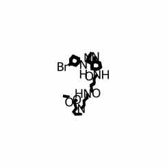 CCOC(=O)C1CCCN1CCCNC(=O)C=CC(=O)Nc1ccc2ncnc(Nc3cccc(Br)c3)c2c1